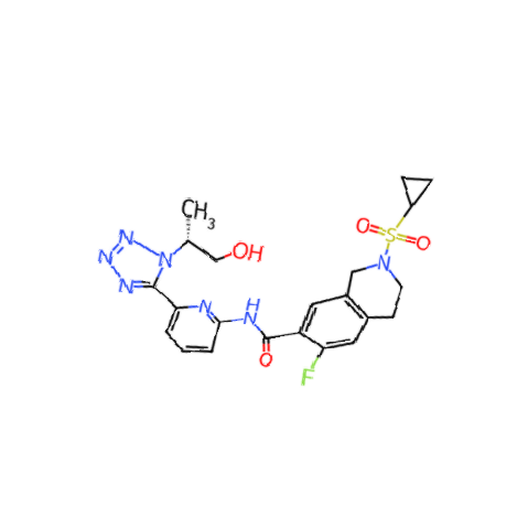 C[C@H](CO)n1nnnc1-c1cccc(NC(=O)c2cc3c(cc2F)CCN(S(=O)(=O)C2CC2)C3)n1